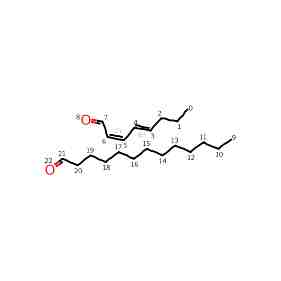 CCC/C=C/C=C\C=O.CCCCCCCCCCCCC=O